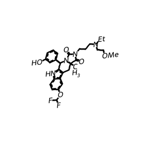 CCN(CCCN1C(=O)N2C(c3cccc(O)c3)c3[nH]c4ccc(OC(F)F)cc4c3CC2(C)C1=O)CCOC